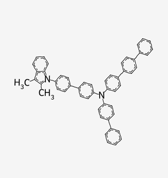 Cc1c(C)n(-c2ccc(-c3ccc(N(c4ccc(-c5ccccc5)cc4)c4ccc(-c5ccc(-c6ccccc6)cc5)cc4)cc3)cc2)c2ccccc12